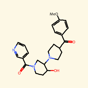 COc1ccc(C(=O)C2CCN(C3CN(C(=O)c4cccnc4)CCC3O)CC2)cc1